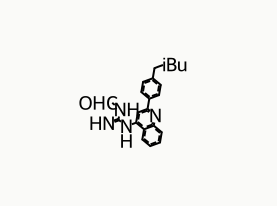 CCC(C)Cc1ccc(-c2cc(NC(=N)NC=O)c3ccccc3n2)cc1